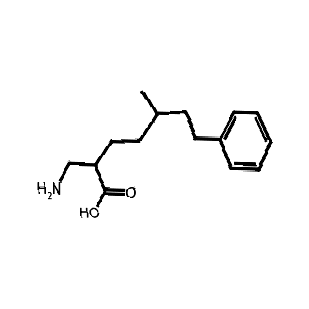 CC(CCc1ccccc1)CCC(CN)C(=O)O